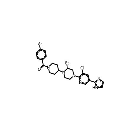 CC[C@H]1CN(c2ncc(-c3ncc[nH]3)cc2Cl)CCN1C1CCN(C(=O)c2ccc(C(C)=O)cc2)CC1